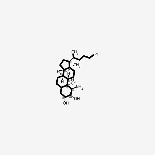 CC(C)CCCC(C)[C@H]1CC[C@H]2[C@@H]3CCC4C[C@@H](O)[C@@H](O)[C@H](N)[C@]4(C)[C@H]3CC[C@]12C